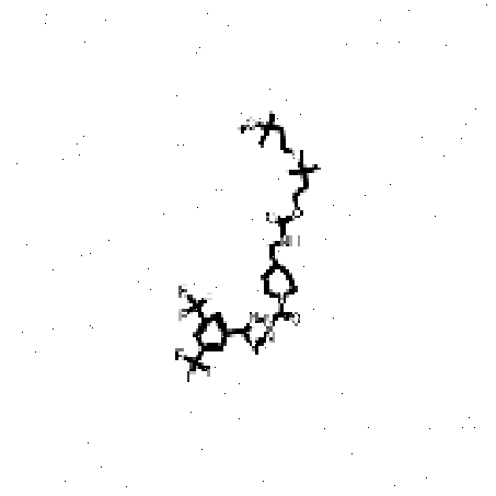 COC(C)(C)CCOC(C)(C)CCOC(=O)NCC1CCN(C(=O)n2nnc(-c3cc(C(F)(F)F)cc(C(F)(F)F)c3)n2)CC1